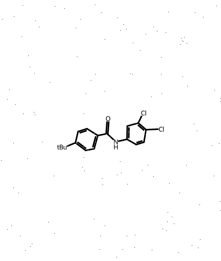 CC(C)(C)c1ccc(C(=O)Nc2ccc(Cl)c(Cl)c2)cc1